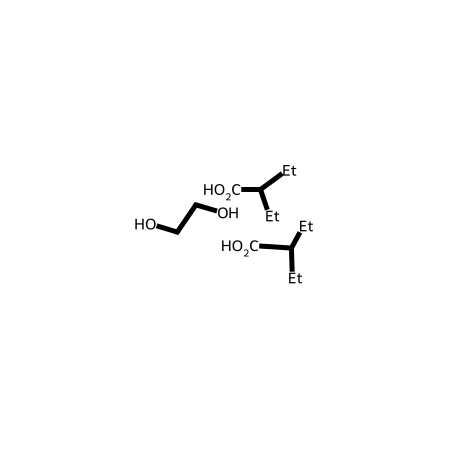 CCC(CC)C(=O)O.CCC(CC)C(=O)O.OCCO